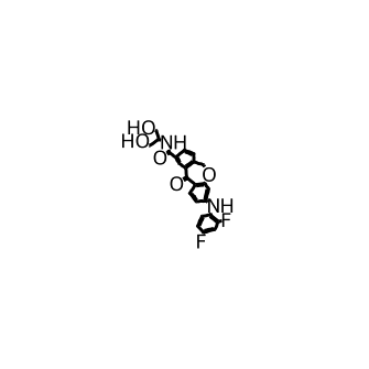 O=C(NC(CO)CO)c1ccc2c(c1)C(=O)c1ccc(Nc3ccc(F)cc3F)cc1OC2